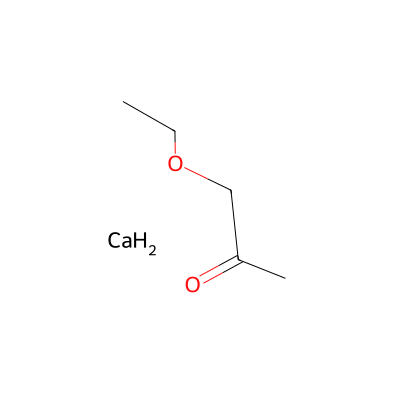 CCOCC(C)=O.[CaH2]